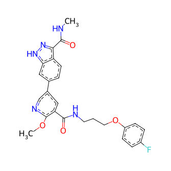 CNC(=O)c1n[nH]c2cc(-c3cnc(OC)c(C(=O)NCCCOc4ccc(F)cc4)c3)ccc12